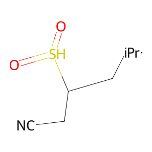 C[C](C)CC(CC#N)[SH](=O)=O